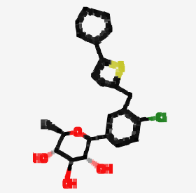 CC[C@H]1OC(c2ccc(Cl)c(Cc3ccc(-c4ccccc4)s3)c2)[C@H](O)[C@@H](O)[C@@H]1O